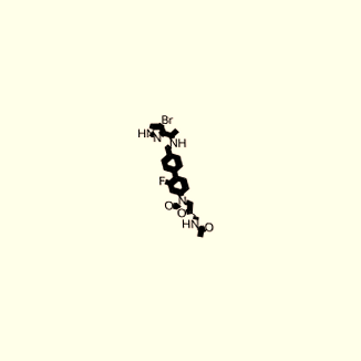 CC(=O)NC[C@H]1CN(c2ccc(-c3ccc(CNC(C)c4n[nH]cc4Br)cc3)c(F)c2)C(=O)O1